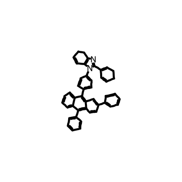 C1=CC(c2nc3c(n2-c2ccc(-c4c5ccccc5c(-c5ccccc5)c5ccc(-c6ccccc6)cc45)cc2)C=CCC3)=CCC1